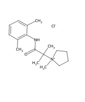 Cc1cccc(C)c1NC(=O)C(C)(C)[N+]1(C)CCCC1.[Cl-]